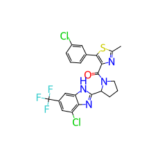 Cc1nc(C(=O)N2CCCC2c2nc3c(Cl)cc(C(F)(F)F)cc3[nH]2)c(-c2cccc(Cl)c2)s1